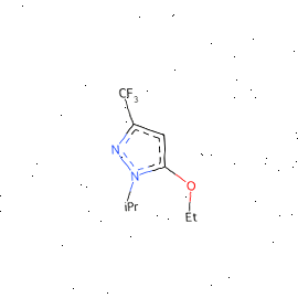 CCOc1cc(C(F)(F)F)nn1C(C)C